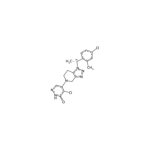 Cc1cc(Cl)ccc1[C@@H](C)n1nnc2c1CCN(c1cn[nH]c(=O)c1Cl)C2